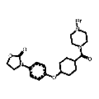 CC(C)N1CCN(C(=O)C2CCC(Oc3ccc(N4CCOC4=O)cc3)CC2)CC1